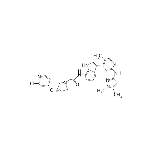 Cc1cnc(Nc2cc(C)n(C)n2)nc1-c1c[nH]c2c(NC(=O)CN3CC[C@H](Oc4ccnc(Cl)c4)C3)cccc12